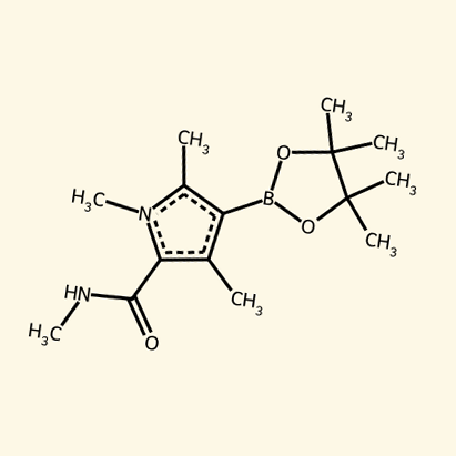 CNC(=O)c1c(C)c(B2OC(C)(C)C(C)(C)O2)c(C)n1C